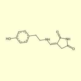 O=C1C/C(=C/NCCc2ccc(O)cc2)C(=O)N1